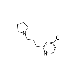 Clc1ccnc(CCCN2CCCC2)c1